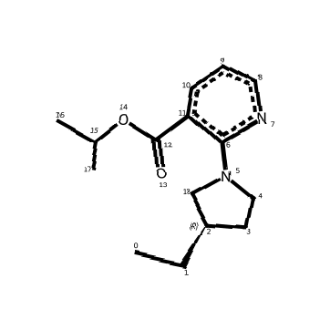 CC[C@@H]1CCN(c2ncccc2C(=O)OC(C)C)C1